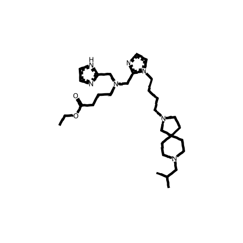 CCOC(=O)CCCN(Cc1ncc[nH]1)Cc1nccn1CCCCN1CCC2(CCN(CC(C)C)CC2)C1